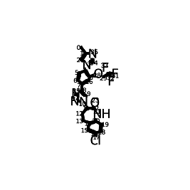 Cc1cn(-c2ccc(-c3cn(C4CCc5cc(Cl)ccc5NC4=O)nn3)cc2OCC(F)(F)F)cn1